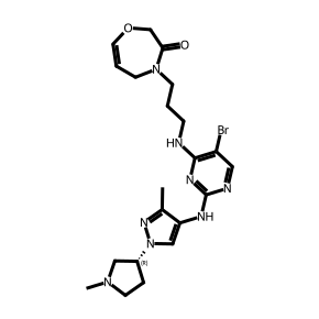 Cc1nn([C@@H]2CCN(C)C2)cc1Nc1ncc(Br)c(NCCCN2CC=COCC2=O)n1